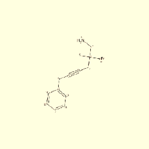 CCCC(C)(CN)CC#CCc1ccccc1